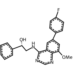 COc1cc(-c2ccc(F)cc2)cc2c(NC[C@@H](O)c3ccccc3)ncnc12